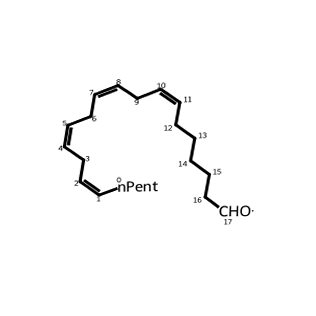 CCCCC/C=C\C/C=C\C/C=C\C/C=C\CCCCC[C]=O